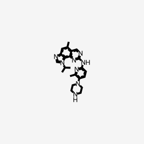 Cc1nc(Nc2ncc3c(C)cc4ncn(C(C)C)c4c3n2)ccc1N1CCNCC1